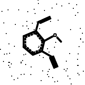 C#Cc1cccc([C]=C)c1OC